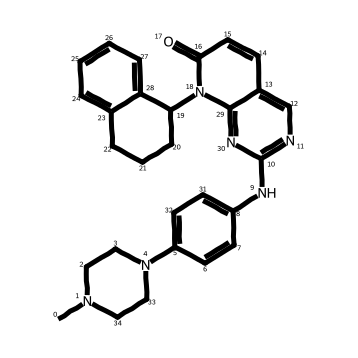 CN1CCN(c2ccc(Nc3ncc4ccc(=O)n(C5CCCc6ccccc65)c4n3)cc2)CC1